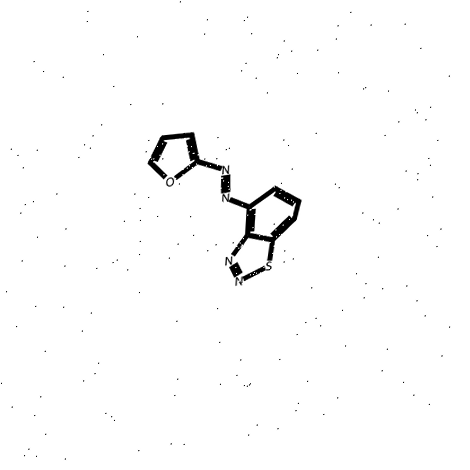 c1coc(N=Nc2cccc3snnc23)c1